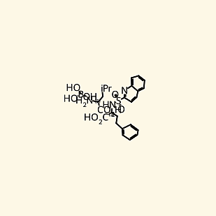 CC(C)C[C@H](N)C(=O)O.O=C(O)[C@H](CCc1ccccc1)NS(=O)(=O)c1ccc2ccccc2n1.OB(O)O